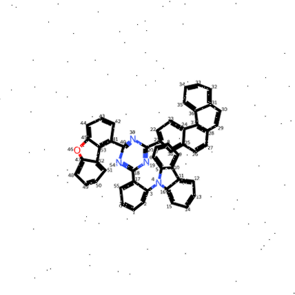 c1ccc(-n2c3ccccc3c3ccccc32)c(-c2nc(-c3ccc4c(ccc5ccc6ccccc6c54)c3)nc(-c3cccc4oc5ccccc5c34)n2)c1